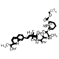 CC(C)C(NC(=O)C(C)(C#N)/C=C/c1ccc2ccc([C@@H](C)O)nc2c1)C(=O)N[C@@H](C)C(=O)N1CCC[C@@H](C(=O)OCC(Cl)(Cl)Cl)N1